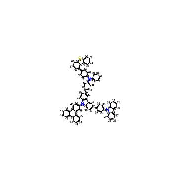 c1ccc(N(c2ccc(-c3ccc4c(c3)c3cc(-c5ccc(-n6c7ccccc7c7ccccc76)cc5)ccc3n4-c3ccc4c5ccccc5c5ccccc5c4c3)cc2)c2ccc(-c3cccc4sc5ccccc5c34)cc2)cc1